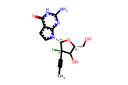 CC#C[C@@]1(F)C(O)[C@@H](CO)O[C@H]1n1ccc2c(=O)[nH]c(N)nc21